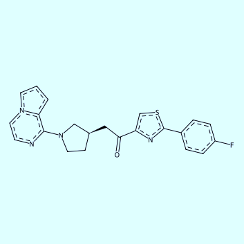 O=C(C[C@H]1CCN(c2nccn3cccc23)C1)c1csc(-c2ccc(F)cc2)n1